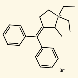 CC[N+]1(CC)CCC(=C(c2ccccc2)c2ccccc2)C1C.[Br-]